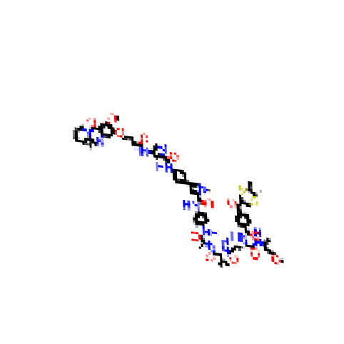 COCCC(C)NC(=O)[C@H](CCC(=O)N[C@H](C(=O)N[C@@H](C)C(=O)Nc1ccc(NC(=O)c2cc(-c3ccc(NC(=O)c4cc(NC(=O)CCCOc5cc6c(cc5OC)C(=O)N5CCCC[C@H]5C=N6)cn4C)cc3)cn2C)cc1)C(C)C)NC(=O)c1ccc(C(=O)C2CSC(C)[C@H](C)SC2)cc1